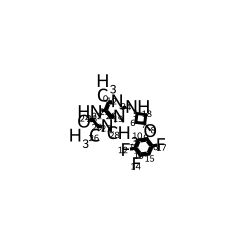 Cc1nc(N[C@H]2C[C@H](Oc3cc(F)c(F)cc3F)C2)nc2c1NC(=O)[C@H](C)N2C